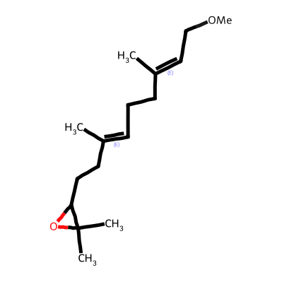 COC/C=C(\C)CC/C=C(\C)CCC1OC1(C)C